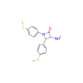 CSc1ccc(C2C(NI)C(=O)N2c2ccc(SC)cc2)cc1